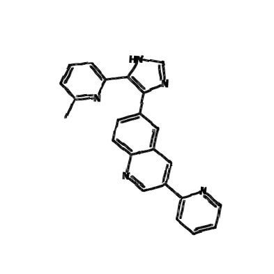 Cc1cccc(-c2[nH]cnc2-c2ccc3ncc(-c4ccccn4)cc3c2)n1